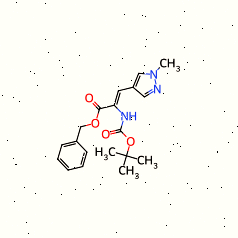 Cn1cc(/C=C(\NC(=O)OC(C)(C)C)C(=O)OCc2ccccc2)cn1